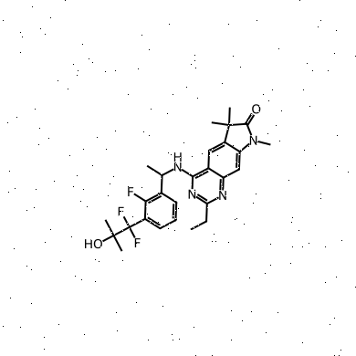 CCc1nc(NC(C)c2cccc(C(F)(F)C(C)(C)O)c2F)c2cc3c(cc2n1)N(C)C(=O)C3(C)C